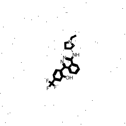 CCN1CC[C@@H](Nc2nnc(-c3ccc(C(F)(F)F)cc3O)c3ccccc23)C1